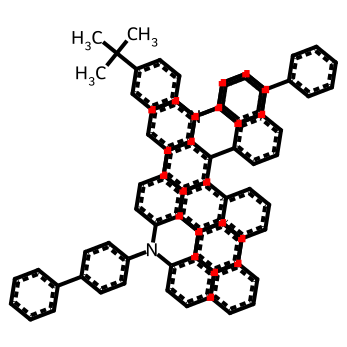 CC(C)(C)c1ccc(N(c2ccc(-c3ccccc3)cc2)c2ccccc2-c2cccc3cccc(-c4cccc(-c5ccc(N(c6ccc(-c7ccccc7)cc6)c6ccccc6-c6cccc7cccc(-c8ccccc8)c67)c(-c6ccccc6)c5)c4)c23)cc1